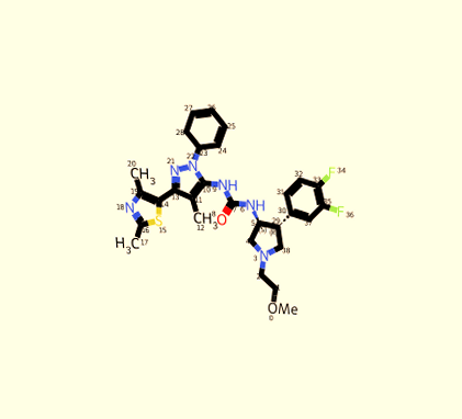 COCCN1C[C@@H](NC(=O)Nc2c(C)c(-c3sc(C)nc3C)nn2C2C=CC=CC2)[C@H](c2ccc(F)c(F)c2)C1